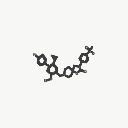 CCOc1cc(-c2ccc(F)cc2)c(C2CC2)cc1CN1CCC2(CC1)CN(c1ccc(S(C)(=O)=O)cc1)C(=O)O2